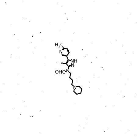 Cc1ccc(-c2[nH]nc(N(C=O)CCCCN3CCCCC3)c2F)cn1